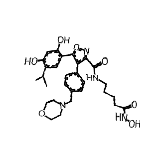 CC(C)c1cc(-c2onc(C(=O)NCCCCC(=O)NO)c2-c2ccc(CN3CCOCC3)cc2)c(O)cc1O